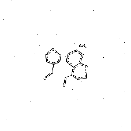 O=Cc1cccc2ccccc12.O=[C]c1ccccc1.[BeH2]